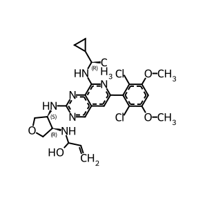 C=CC(O)N[C@H]1COC[C@H]1Nc1ncc2cc(-c3c(Cl)c(OC)cc(OC)c3Cl)nc(N[C@H](C)C3CC3)c2n1